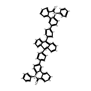 O=c1c2ccccc2c2cc(-c3ccc(-c4c5ccccc5c(-c5ccc(-c6ccc7c(c6)c6ccccc6c(=O)n7-c6ccccc6)cc5)c5ccccc45)cc3)ccc2n1-c1ccccc1